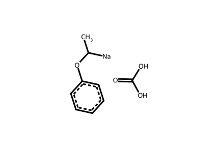 C[CH]([Na])Oc1ccccc1.O=C(O)O